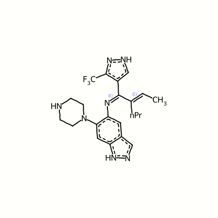 C/C=C(CCC)/C(=N\c1cc2cn[nH]c2cc1N1CCNCC1)c1c[nH]nc1C(F)(F)F